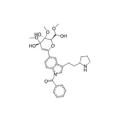 COC(O)[C@H]1OC(c2ccc3c(c2)c(CCC2CCCN2)cn3C(=O)c2ccccc2)=C[C@](O)(OC)[C@@]1(O)OC